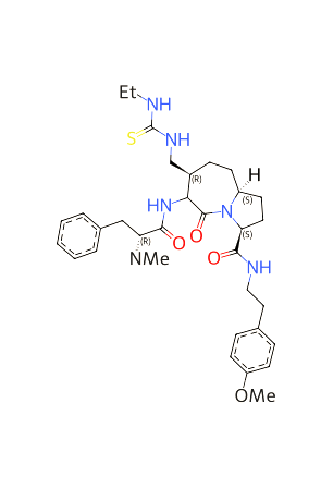 CCNC(=S)NC[C@H]1CC[C@H]2CC[C@@H](C(=O)NCCc3ccc(OC)cc3)N2C(=O)C1NC(=O)[C@@H](Cc1ccccc1)NC